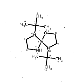 CC(C)(C)N1CCN[Si]12OCCN2C(C)(C)C